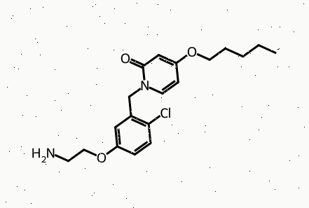 CCCCCOc1ccn(Cc2cc(OCCN)ccc2Cl)c(=O)c1